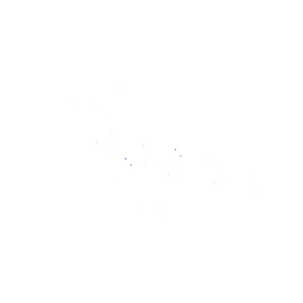 c1ccc(-c2ccc(-c3nc4ccc(N(c5cccc(-c6ccccc6)c5)c5ccc6c(c5)C(c5ccccc5)(c5ccccc5)c5ccccc5-6)cc4o3)cc2)cc1